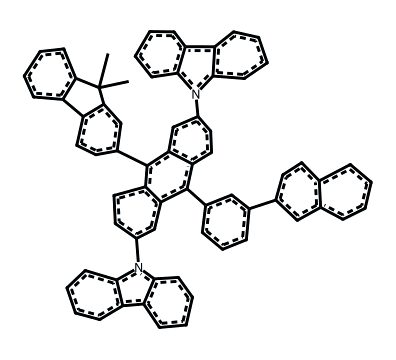 CC1(C)c2ccccc2-c2ccc(-c3c4ccc(-n5c6ccccc6c6ccccc65)cc4c(-c4cccc(-c5ccc6ccccc6c5)c4)c4ccc(-n5c6ccccc6c6ccccc65)cc34)cc21